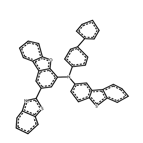 c1ccc(-c2ccc(N(c3ccc4sc5ccccc5c4c3)c3cc(-c4nc5ccccc5s4)cc4c3oc3ccccc34)cc2)cc1